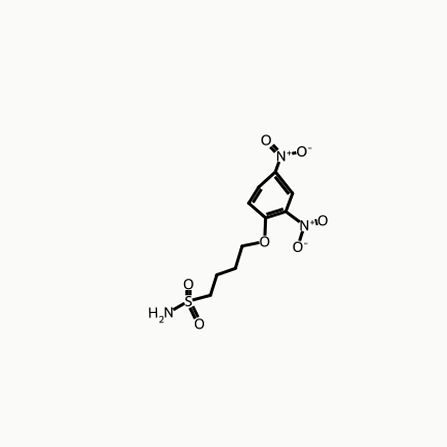 NS(=O)(=O)CCCCOc1ccc([N+](=O)[O-])cc1[N+](=O)[O-]